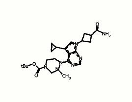 C[C@H]1CN(C(=O)OC(C)(C)C)CCN1c1ncnc2c1c(C1CC1)cn2C1CC(C(N)=O)C1